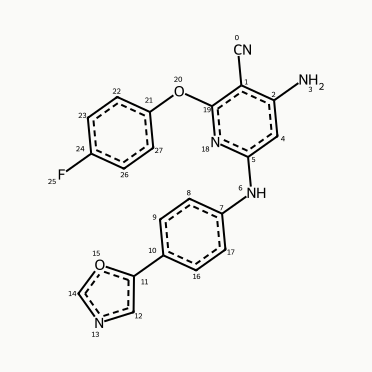 N#Cc1c(N)cc(Nc2ccc(-c3cnco3)cc2)nc1Oc1ccc(F)cc1